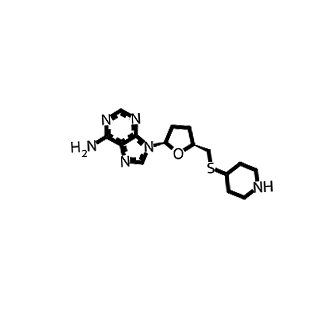 Nc1ncnc2c1ncn2[C@H]1CC[C@@H](CSC2CCNCC2)O1